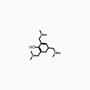 CN(C)CC1=CC(CN(C)C)CC(CN(C)C)=C1O